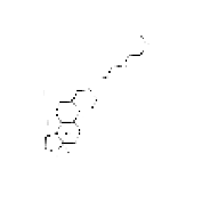 CN(C)CCOCCO[C@H]1CC[C@@]2(C)[C@H](C1)[C@H](O)C[C@@H]1[C@@H]2CC[C@]2(C)[C@@H](O)CC[C@@H]12